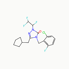 O=c1n(C(F)C(F)F)nc(CC2CCCC2)n1Cc1c(F)cccc1Cl